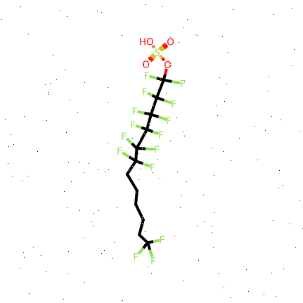 O=S(=O)(O)OC(F)(F)C(F)(F)C(F)(F)C(F)(F)C(F)(F)C(F)(F)CCCCCC(F)(F)F